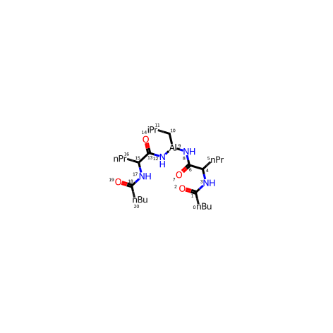 CCCCC(=O)NC(CCC)C(=O)[NH][Al]([CH2]C(C)C)[NH]C(=O)C(CCC)NC(=O)CCCC